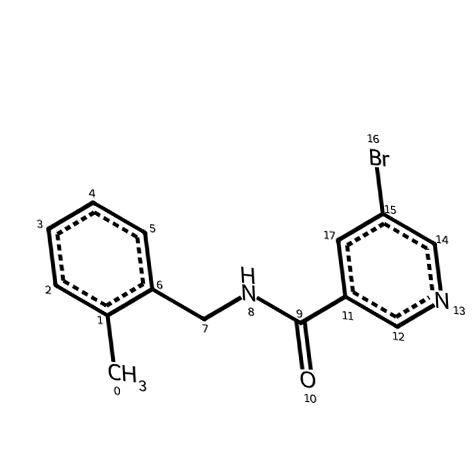 Cc1ccccc1CNC(=O)c1cncc(Br)c1